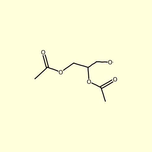 CC(=O)OCC(C[O])OC(C)=O